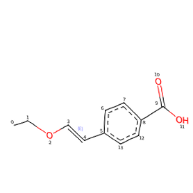 CCO/C=C/c1ccc(C(=O)O)cc1